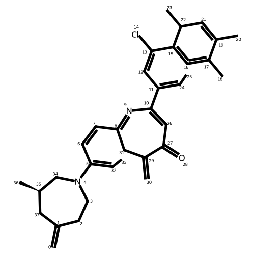 C=C1CCN(C(/C=C\C2=NC(C(/C=C(/Cl)C3=C=C(C)C(C)=CC3C)=C/C)=CC(=O)C(=C)C2)=C/C)C[C@H](C)C1